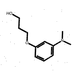 CN(C)c1cccc(OCCCO)c1